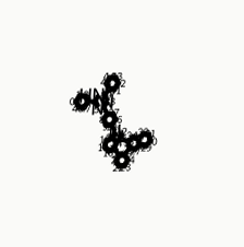 c1ccc(C2=NC(c3ccc(-n4cc5c6c(cccc64)-c4ccccc4-c4cc6ccccc6cc4-5)cc3)=NC(c3ccccc3)N2)cc1